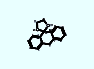 c1ccc2c(c1)Cc1ccccc1C21OCCO1